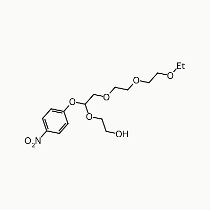 CCOCCOCCOCC(OCCO)Oc1ccc([N+](=O)[O-])cc1